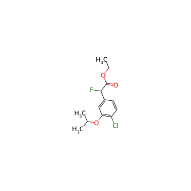 CCOC(=O)C(F)c1ccc(Cl)c(OC(C)C)c1